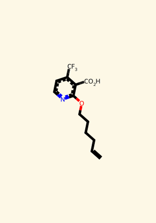 C=CCCCCOc1nccc(C(F)(F)F)c1C(=O)O